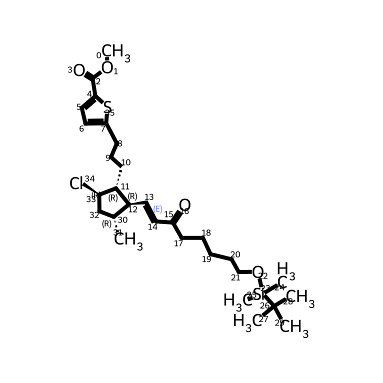 COC(=O)c1ccc(CCC[C@@H]2[C@@H](/C=C/C(=O)CCCCCO[Si](C)(C)C(C)(C)C)[C@H](C)C[C@H]2Cl)s1